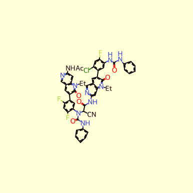 CCn1c(=O)c(-c2cc(N(C(=O)Nc3ccccc3)C(C#N)C(=O)Nc3cc4c(cn3)cc(-c3cc(NC(=O)Nc5ccccc5)c(F)cc3Cl)c(=O)n4CC)c(F)cc2F)cc2cnc(NC(C)=O)cc21